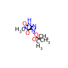 Cn1c(=O)[nH]c2ncn(COC(=O)C(C)(C)C)c2c1=O